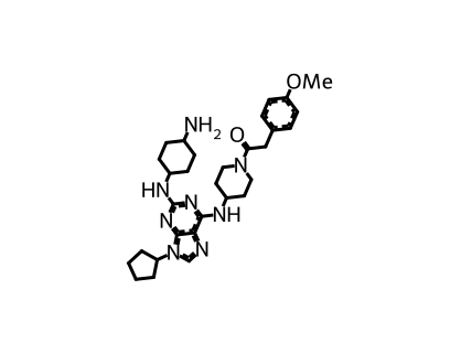 COc1ccc(CC(=O)N2CCC(Nc3nc(NC4CCC(N)CC4)nc4c3ncn4C3CCCC3)CC2)cc1